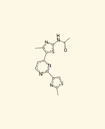 CC(=O)Nc1nc(C)c(-c2ccnc(-c3csc(C)n3)n2)s1